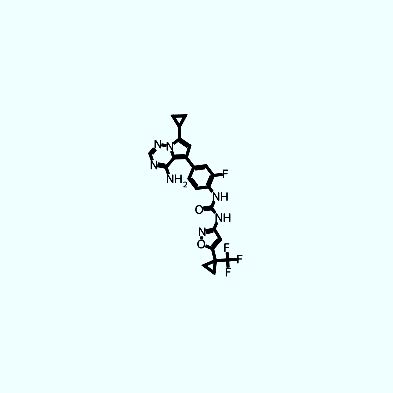 Nc1ncnn2c(C3CC3)cc(-c3ccc(NC(=O)Nc4cc(C5(C(F)(F)F)CC5)on4)c(F)c3)c12